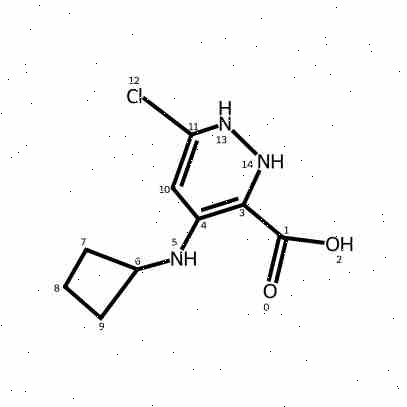 O=C(O)C1=C(NC2CCC2)C=C(Cl)NN1